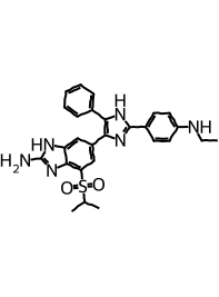 CCNc1ccc(-c2nc(-c3cc(S(=O)(=O)C(C)C)c4nc(N)[nH]c4c3)c(-c3ccccc3)[nH]2)cc1